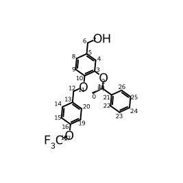 C[C@@H](Oc1cc(CO)ccc1OCc1ccc(OC(F)(F)F)cc1)c1ccccc1